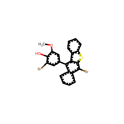 COc1cc(-c2c3ccccc3c(Br)c3sc4ccccc4c23)cc(Br)c1O